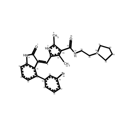 Cc1[nH]c(C=C2C(=O)Nc3cccc(-c4cccc(Br)c4)c32)c(C)c1C(=O)NCCN1CCCC1